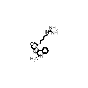 N=C(N)NCCCCC[C@H]1COCc2nc3c(N)nc4ccccc4c3n21